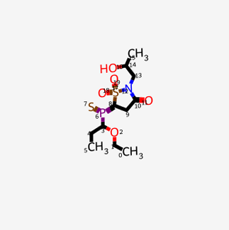 CCOC(CC)/P(=S)=C1\CC(=O)N(CC(C)O)S1(=O)=O